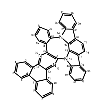 c1ccc2c(c1)c1ccccc1c1nc3c(nc21)c1ccccc1n1c2ccccc2c2ccc4c5ccccc5n3c4c21